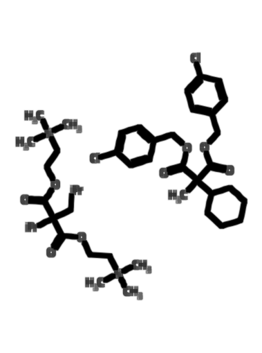 CC(C(=O)OCc1ccc(Cl)cc1)(C(=O)OCc1ccc(Cl)cc1)C1CCCCC1.CC(C)CC(C(=O)OCC[Si](C)(C)C)(C(=O)OCC[Si](C)(C)C)C(C)C